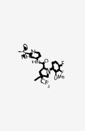 COc1c(N2CC(C)(C(F)(F)F)CC2C(=O)Nc2ccnc([S@](C)(=N)=O)c2)ccc(F)c1F